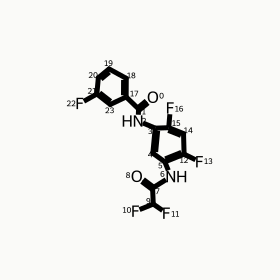 O=C(Nc1cc(NC(=O)C(F)F)c(F)cc1F)c1cccc(F)c1